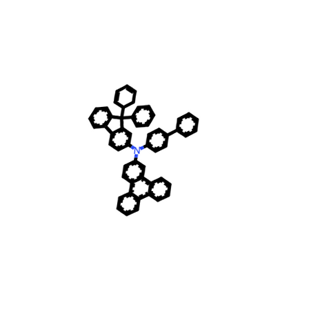 C1=CCC(C2(c3ccccc3)c3ccccc3-c3ccc(N(c4ccc(-c5ccccc5)cc4)c4ccc5c6ccccc6c6ccccc6c5c4)cc32)C=C1